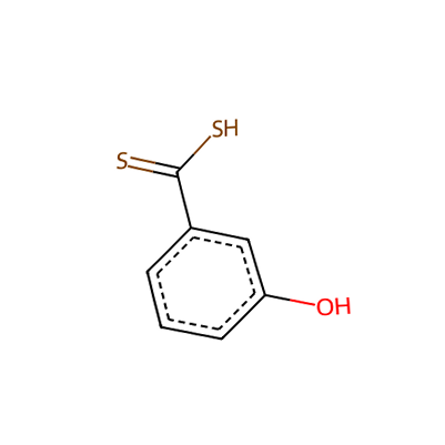 Oc1cccc(C(=S)S)c1